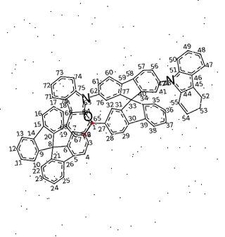 O=C(c1ccc2c(c1)C1(c3ccccc3-c3ccccc31)c1ccccc1-2)c1ccc2c(c1)C1(c3ccccc3-2)c2cc(-n3c4c(c5ccccc53)CCC=C4)ccc2-c2ccc(-n3c4ccccc4c4ccccc43)cc21